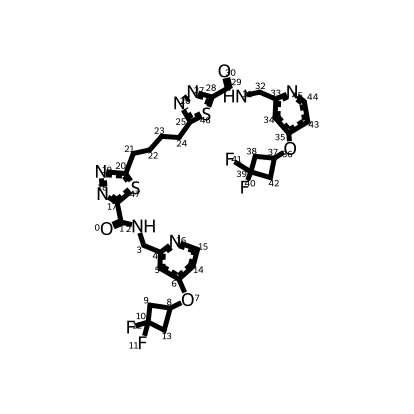 O=C(NCc1cc(OC2CC(F)(F)C2)ccn1)c1nnc(CCCCc2nnc(C(=O)NCc3cc(OC4CC(F)(F)C4)ccn3)s2)s1